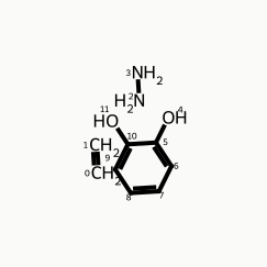 C=C.NN.Oc1ccccc1O